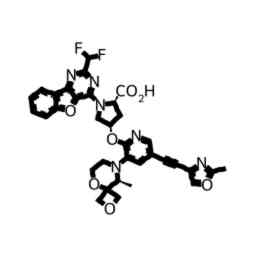 Cc1nc(C#Cc2cnc(O[C@H]3C[C@@H](C(=O)O)N(c4nc(C(F)F)nc5c4oc4ccccc45)C3)c(N3CCOC4(COC4)[C@@H]3C)c2)co1